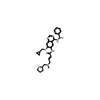 C[C@@H](Nc1ncnc2cc(OCC3CC3)c(NC(=O)C=CCN(C)CC3CCCO3)cc12)c1ccccc1